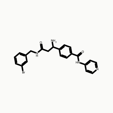 NC(CC(=O)NCc1cccc(Br)c1)c1ccc(C(=O)Nc2ccncc2)cc1